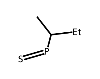 CCC(C)P=S